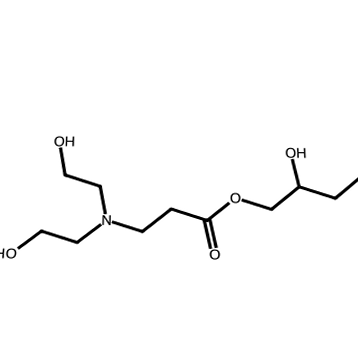 CCC(O)COC(=O)CCN(CCO)CCO